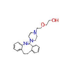 OCCOCCN1CCN(/C2=N/c3ccccc3CCc3ccccc32)CC1